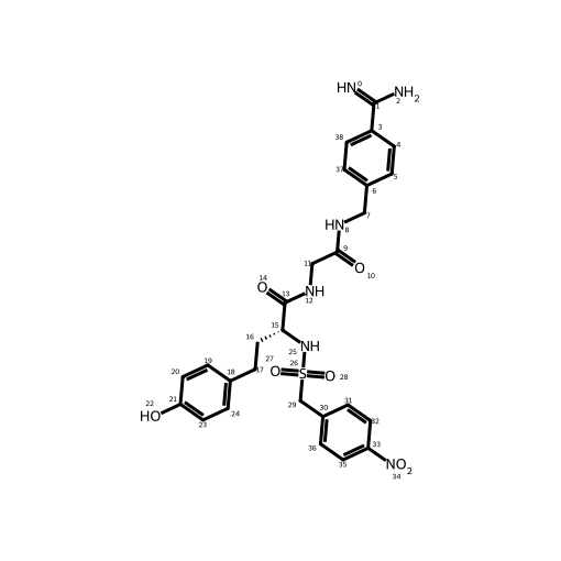 N=C(N)c1ccc(CNC(=O)CNC(=O)[C@@H](CCc2ccc(O)cc2)NS(=O)(=O)Cc2ccc([N+](=O)[O-])cc2)cc1